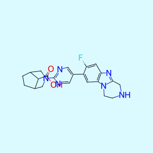 O=C(O)C1C2CCC1CN(c1ncc(-c3cc4c(cc3F)nc3n4CCNC3)cn1)C2